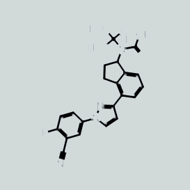 CC(C)(C)N(C(=O)O)C1CCc2c(-c3ccn(-c4ccc(F)c(C#N)c4)n3)cccc21